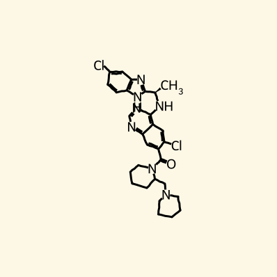 C[C@@H](Nc1ncnc2cc(C(=O)N3CCCCC3CN3CCCCC3)c(Cl)cc12)c1nc2cc(Cl)ccc2[nH]1